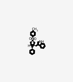 Cc1ccc(S(=O)(=O)N2C[C@H]3[C@H](c4ccccc4)[C@@]3(Cc3c[nH]c4ccccc34)C2)cc1